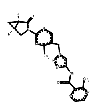 Cc1nc(N2C[C@H]3C[C@H]3C2=O)ncc1Cn1cc(NC(=O)c2nccnc2C)nn1